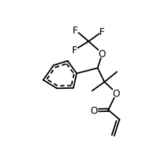 C=CC(=O)OC(C)(C)C(OC(F)(F)F)c1ccccc1